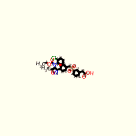 CCOC(=O)N(c1ccccc1Cl)c1c(-c2ccc(CS(=O)(=O)c3cccc(CC(=O)O)c3)cc2)noc1C